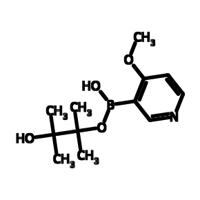 COc1ccncc1B(O)OC(C)(C)C(C)(C)O